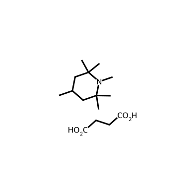 CC1CC(C)(C)N(C)C(C)(C)C1.O=C(O)CCC(=O)O